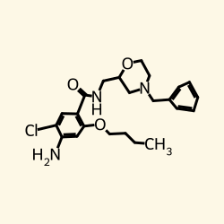 CCCCOc1cc(N)c(Cl)cc1C(=O)NCC1CN(Cc2ccccc2)CCO1